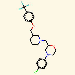 FC(F)(F)c1ccc(OCC2CCCN(CC3CN(c4ccc(Cl)cc4)CCO3)C2)cc1